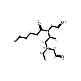 CCCCCC(=O)N(CC=O)C(C)CN(CC)CC=O